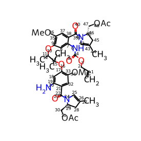 C=CCOC(=O)Nc1cc(OC(C)C(C)(C)Oc2cc(N)c(C(=O)N3C=C(C)C[C@H]3COC(C)=O)cc2OC)c(OC)cc1C(=O)N1C=C(C)C[C@H]1COC(C)=O